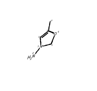 CC1=CN(N)CO1